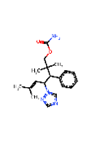 CC(C)=CC(C(c1ccccc1)C(C)(C)COC(N)=O)n1cncn1